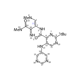 CN/C=C(/NC(=O)c1nc(C(C)(C)C)ncc1Nc1cncnc1)C(=N)C(=O)NC